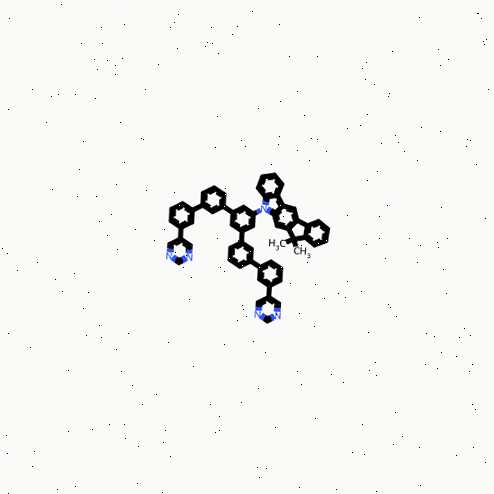 CC1(C)c2ccccc2-c2cc3c4ccccc4n(-c4cc(-c5cccc(-c6cccc(-c7cncnc7)c6)c5)cc(-c5cccc(-c6cccc(-c7cncnc7)c6)c5)c4)c3cc21